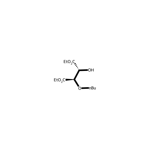 CCCCO[C@@H](C(=O)OCC)[C@@H](O)C(=O)OCC